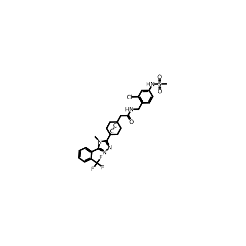 Cn1c(-c2ccccc2C(F)(F)F)nnc1C12CCC(CC(=O)NCc3ccc(NS(C)(=O)=O)cc3Cl)(CC1)CC2